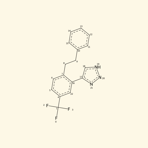 FC(F)(F)c1ccc(CCc2ccccc2)c(-c2c[nH]nn2)c1